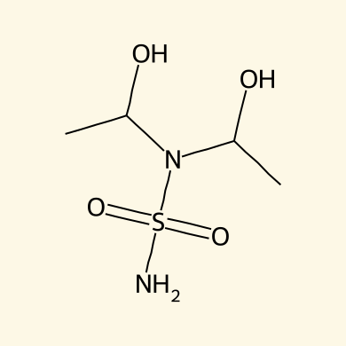 CC(O)N(C(C)O)S(N)(=O)=O